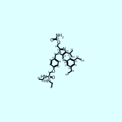 CCNP(=O)(COc1ccc(Cn2c(COC(N)=O)nc(C(C)C)c2Sc2cc(CI)cc(CI)c2)cc1)NCC